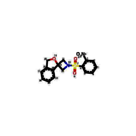 O=[N+]([O-])c1ccccc1S(=O)(=O)N1CC2(C1)OCc1ccccc12